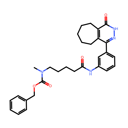 CN(CCCCC(=O)Nc1cccc(-c2n[nH]c(=O)c3c2CCCCC3)c1)C(=O)OCc1ccccc1